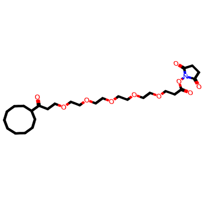 O=C(CCOCCOCCOCCOCCOCCC(=O)C1CCCCCCCCC1)ON1C(=O)CCC1=O